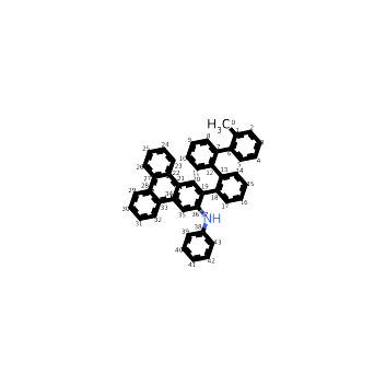 Cc1ccccc1-c1ccccc1-c1ccccc1-c1cc2c3ccccc3c3ccccc3c2cc1Nc1ccccc1